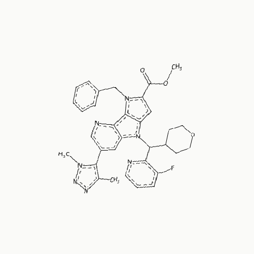 COC(=O)c1cc2c(c3ncc(-c4c(C)nnn4C)cc3n2C(c2ncccc2F)C2CCOCC2)n1Cc1ccccc1